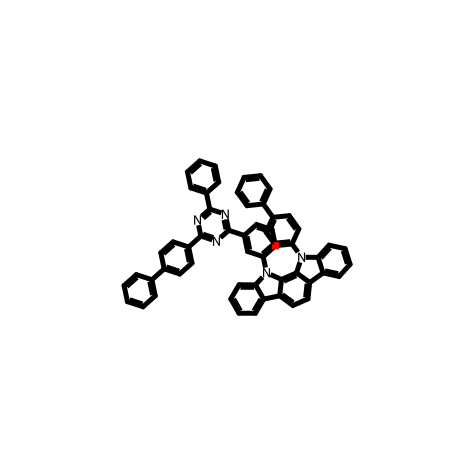 c1ccc(-c2ccc(-c3nc(-c4ccccc4)nc(-c4cccc(-n5c6ccccc6c6ccc7c8ccccc8n(-c8ccc(-c9ccccc9)cc8)c7c65)c4)n3)cc2)cc1